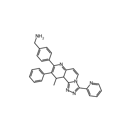 CC1C(c2ccccc2)=C(c2ccc(CN)cc2)N=C2C=Cn3c(-c4ccccn4)nnc3C21